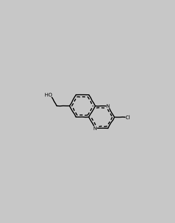 OCc1ccc2nc(Cl)cnc2c1